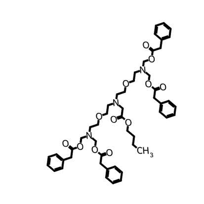 CCCCOC(=O)CN(CCOCCN(COC(=O)Cc1ccccc1)COC(=O)Cc1ccccc1)CCOCCN(COC(=O)Cc1ccccc1)COC(=O)Cc1ccccc1